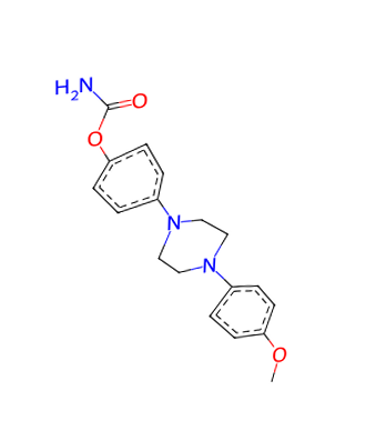 COc1ccc(N2CCN(c3ccc(OC(N)=O)cc3)CC2)cc1